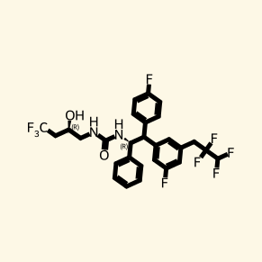 O=C(NC[C@H](O)CC(F)(F)F)N[C@@H](c1ccccc1)C(c1ccc(F)cc1)c1cc(F)cc(CC(F)(F)C(F)F)c1